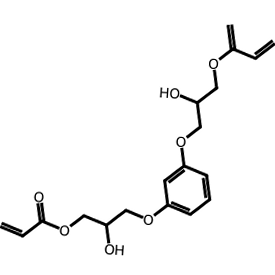 C=CC(=C)OCC(O)COc1cccc(OCC(O)COC(=O)C=C)c1